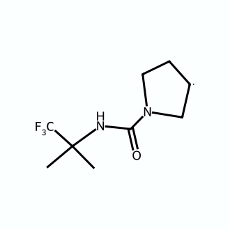 CC(C)(NC(=O)N1C[CH]CC1)C(F)(F)F